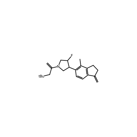 C=C1CCc2c1ccc(C1CN(C(=C)CC(C)(C)C)CC1F)c2C